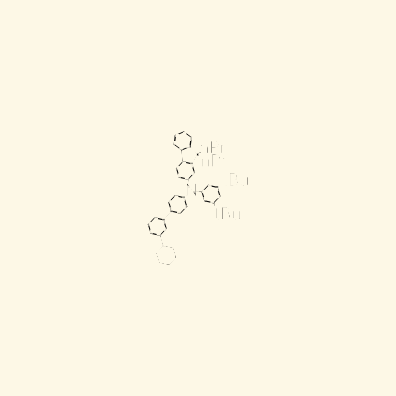 CCCC1(CCC)c2ccccc2-c2ccc(N(c3ccc(-c4cccc(C5CCCCC5)c4)cc3)c3cc(C(C)(C)C)cc(C(C)(C)C)c3)cc21